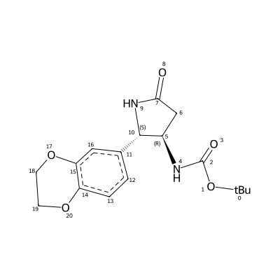 CC(C)(C)OC(=O)N[C@@H]1CC(=O)N[C@H]1c1ccc2c(c1)OCCO2